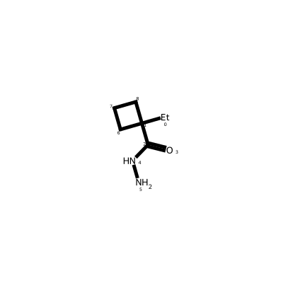 CCC1(C(=O)NN)CCC1